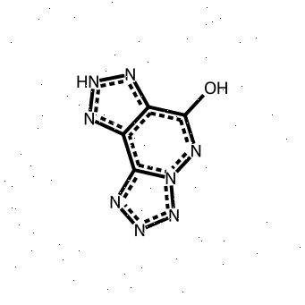 Oc1nn2nnnc2c2n[nH]nc12